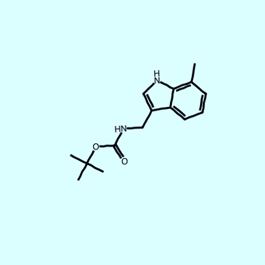 Cc1cccc2c(CNC(=O)OC(C)(C)C)c[nH]c12